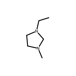 CCN1CCN(C)C1